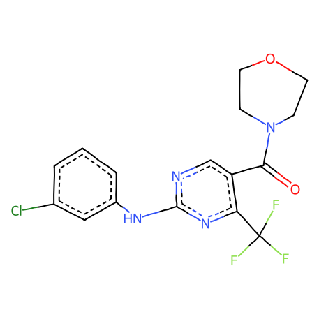 O=C(c1cnc(Nc2cccc(Cl)c2)nc1C(F)(F)F)N1CCOCC1